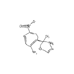 CC1(c2cc([N+](=O)[O-])ccc2N)NN=CO1